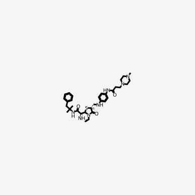 CCN1C(=O)[C@@H](CNc2ccc(NC(=O)CCN3CCN(C)CC3)cc2)SC1[C@H](N)C(=O)NC(C)(C)Cc1ccccc1